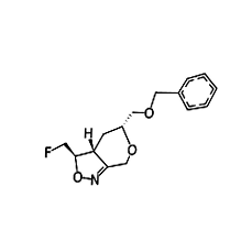 FC[C@@H]1ON=C2CO[C@@H](COCc3ccccc3)C[C@H]21